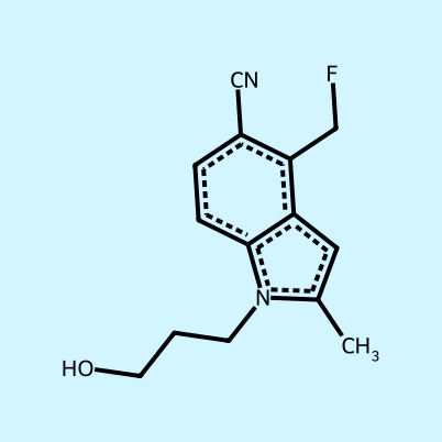 Cc1cc2c(CF)c(C#N)ccc2n1CCCO